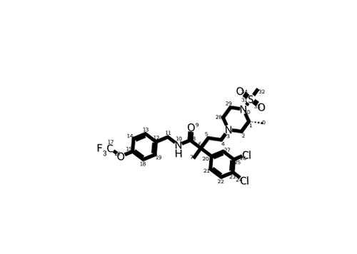 C[C@@H]1CN(CCC(C)(C(=O)NCc2ccc(OC(F)(F)F)cc2)c2ccc(Cl)c(Cl)c2)CCN1S(C)(=O)=O